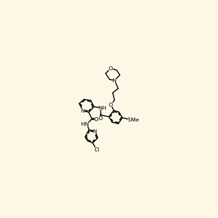 CSc1ccc(C(=O)Nc2cccnc2C(=O)Nc2ccc(Cl)cn2)c(OCCCN2CCOCC2)c1